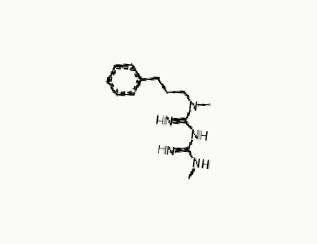 CNC(=N)NC(=N)N(C)CCCc1ccccc1